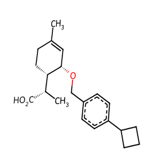 CC1=C[C@H](OCc2ccc(C3CCC3)cc2)[C@H]([C@H](C)C(=O)O)CC1